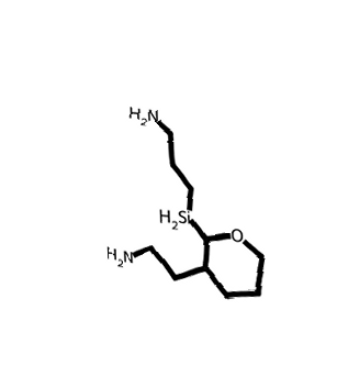 NCCC[SiH2]C1OCCCC1CCN